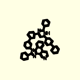 C1=C(c2cccc(-c3cccc(-n4c(-c5ccccc5)nc5c6cnccc6c6ccccc6c54)c3)c2)N=C(c2ccccc2)NC1c1ccc(-c2ccccc2)cc1